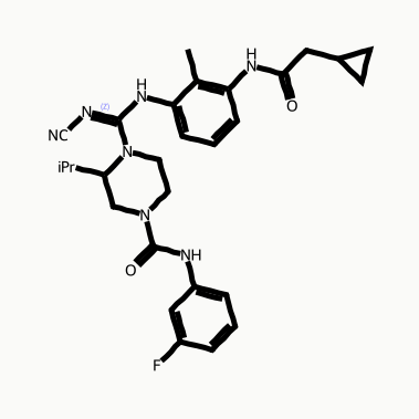 Cc1c(NC(=O)CC2CC2)cccc1N/C(=N/C#N)N1CCN(C(=O)Nc2cccc(F)c2)CC1C(C)C